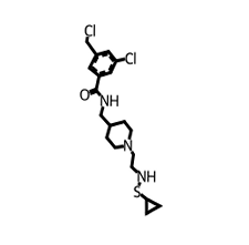 O=C(NCC1CCN(CCNSC2CC2)CC1)c1cc(Cl)cc(CCl)c1